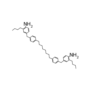 CCCCc1cc(Cc2ccc(CCCCCCCCc3ccc(Cc4ccc(N)c(CCCC)c4)cc3)cc2)ccc1N